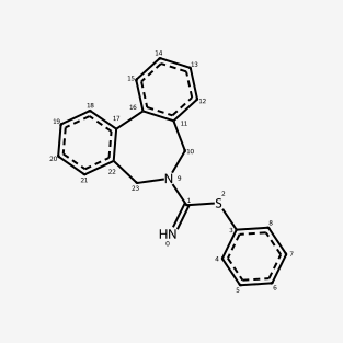 N=C(Sc1ccccc1)N1Cc2ccccc2-c2ccccc2C1